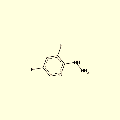 NNc1ncc(F)cc1F